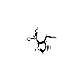 O=[N+]([O-])c1nc[nH]c1CF